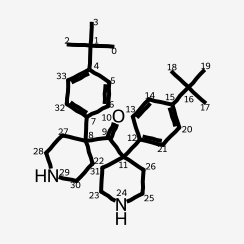 CC(C)(C)c1ccc(C2(C(=O)C3(c4ccc(C(C)(C)C)cc4)CCNCC3)CCNCC2)cc1